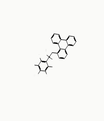 CCC(C)(Cc1cccc2c3ccccc3c3ccccc3c12)c1c(F)c(F)c(C(C)(C)C)c(F)c1F